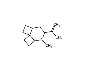 C=C(C)C1CC2CCC23CCC3N1C